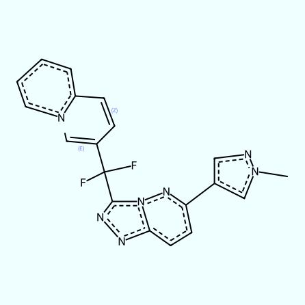 C/C=C(\C=C/c1ccccn1)C(F)(F)c1nnc2ccc(-c3cnn(C)c3)nn12